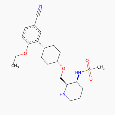 CCOc1ccc(C#N)cc1[C@H]1CC[C@@H](OC[C@@H]2NCCC[C@@H]2NS(C)(=O)=O)CC1